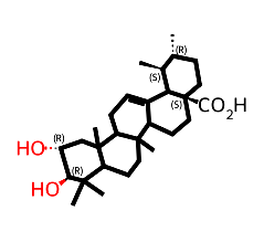 C[C@@H]1CC[C@]2(C(=O)O)CCC3C(=CCC4C3(C)CCC3C4(C)C[C@@H](O)[C@H](O)C3(C)C)C2[C@H]1C